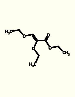 CCO/C=C(\OCC)C(=O)OCC